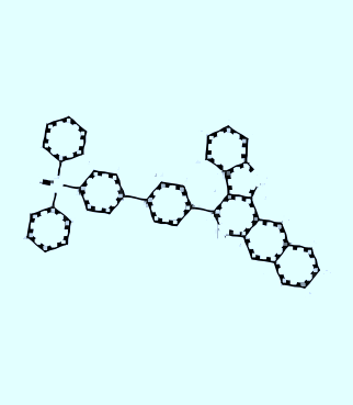 O=P(c1ccccc1)(c1ccccc1)c1ccc(-c2ccc(-c3nc4cc5ccccc5cc4c4oc5ccccc5c34)cc2)cc1